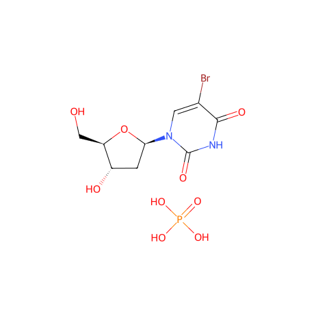 O=P(O)(O)O.O=c1[nH]c(=O)n([C@H]2C[C@H](O)[C@@H](CO)O2)cc1Br